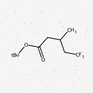 CC(CC(=O)OC(C)(C)C)CC(F)(F)F